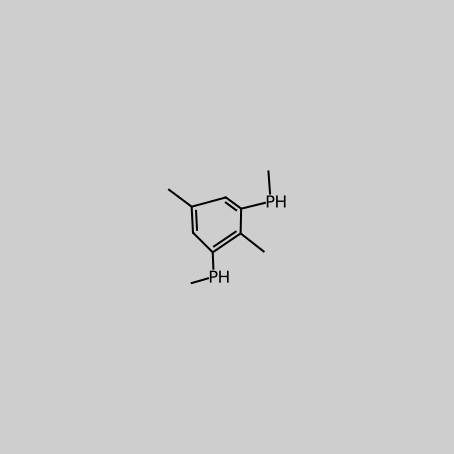 CPc1cc(C)cc(PC)c1C